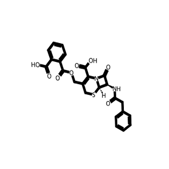 O=C(Cc1ccccc1)N[C@@H]1C(=O)N2C(C(=O)O)=C(COC(=O)c3ccccc3C(=O)O)CS[C@H]12